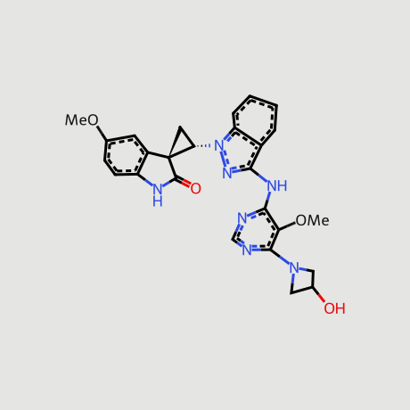 COc1ccc2c(c1)[C@@]1(C[C@@H]1n1nc(Nc3ncnc(N4CC(O)C4)c3OC)c3ccccc31)C(=O)N2